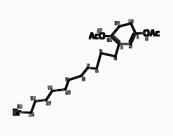 CC(=O)OC1=CC(CCCCCCCCCCCBr)=C(OC(C)=O)CC1